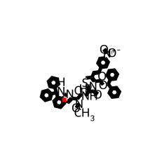 CON=C(C(=O)NC1C(=O)N2C(C(=O)OC(c3ccccc3)c3ccccc3)=C(C=Cc3ccc([N+](=O)[O-])cc3)CS[C@@H]12)c1csc(NC(c2ccccc2)(c2ccccc2)c2ccccc2)n1